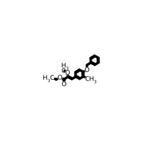 CCOC(=O)C(=Cc1ccc(OCc2ccccc2)c(C)c1)OC